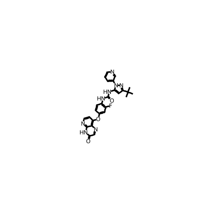 CC(C)(C)c1cc(NC(=O)Nc2ccc(Oc3ccnc4[nH]c(=O)cnc34)cc2F)n(-c2cccnc2)n1